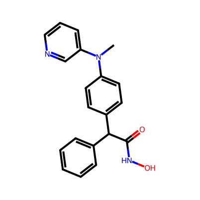 CN(c1ccc(C(C(=O)NO)c2ccccc2)cc1)c1cccnc1